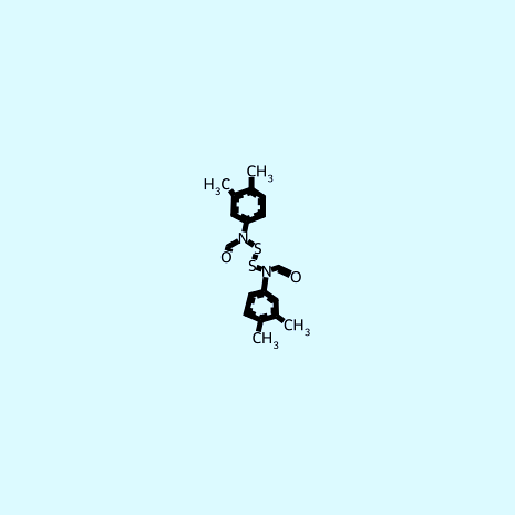 Cc1ccc(N(C=O)SSN(C=O)c2ccc(C)c(C)c2)cc1C